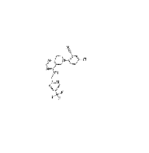 N#Cc1cc(Cl)ccc1N1CCc2ncnc(NCc3ccc(C(F)(F)F)cn3)c2C1